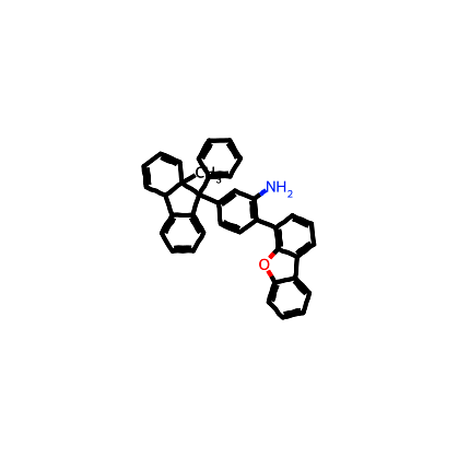 CC12C=CC=CC1c1ccccc1C2(c1ccccc1)c1ccc(-c2cccc3c2oc2ccccc23)c(N)c1